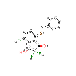 O=C1c2c(SCc3ccccc3)ccc(F)c2[C@H](O)C1(F)F